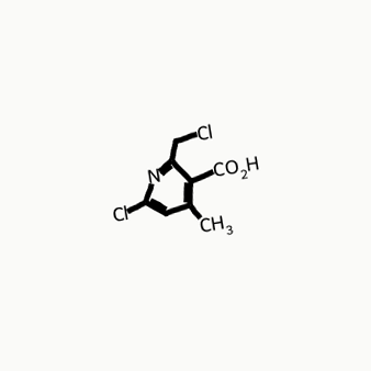 Cc1cc(Cl)nc(CCl)c1C(=O)O